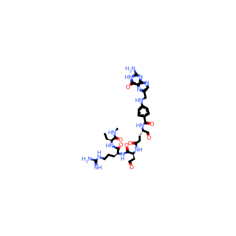 CC[C@H](NC(=O)[C@H](CCCNC(=N)N)NC(=O)[C@H](CC=O)NC(=O)CC[C@@H](C=O)NC(=O)c1ccc(NCc2cnc3nc(N)[nH]c(=O)c3n2)cc1)C(=O)NC